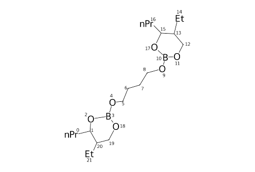 CCCC1OB(OCCCCOB2OCC(CC)C(CCC)O2)OCC1CC